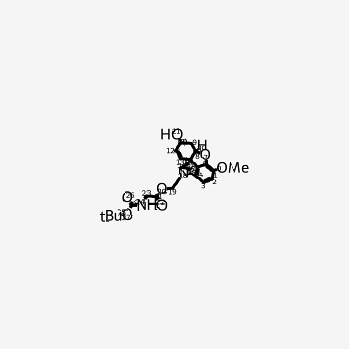 COc1ccc2c3c1O[C@H]1C[C@@H](O)C=C[C@@]31CCCN(COC(=O)CNC(=O)OC(C)(C)C)C2